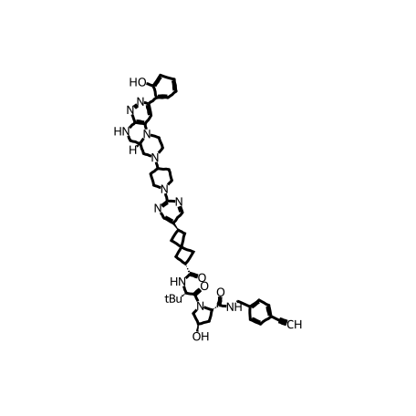 C#Cc1ccc(CNC(=O)[C@@H]2C[C@@H](O)CN2C(=O)[C@@H](NC(=O)[C@H]2CC3(C2)C[C@H](c2cnc(N4CCC(N5CCN6c7cc(-c8ccccc8O)nnc7NC[C@H]6C5)CC4)nc2)C3)C(C)(C)C)cc1